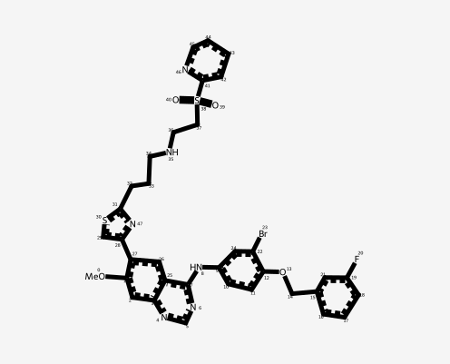 COc1cc2ncnc(Nc3ccc(OCc4cccc(F)c4)c(Br)c3)c2cc1-c1csc(CCCNCCS(=O)(=O)c2ccccn2)n1